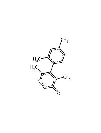 Cc1ccc(-c2c(C)ncc(=O)n2C)c(C)c1